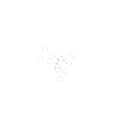 c1ccc2c(c1)-c1cccc(N(c3ccc(-c4ccc5c(c4)CC5)cc3)c3ccc(-c4ccc5c(c4)CC5)cc3)c1C21c2ccccc2-c2cccc(N(c3ccc(-c4ccc5c(c4)CC5)cc3)c3ccc(-c4ccc5c(c4)CC5)cc3)c21